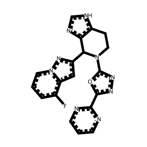 Fc1cccn2nc(C3c4nc[nH]c4CCN3c3nnc(-c4ncccn4)o3)cc12